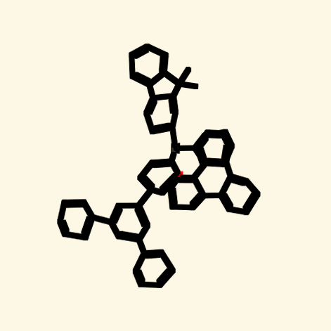 CC1(C)c2ccccc2-c2ccc(N(c3ccc(-c4cc(-c5ccccc5)cc(-c5ccccc5)c4)cc3)c3ccccc3-c3ccccc3-c3ccccc3-c3ccccc3)cc21